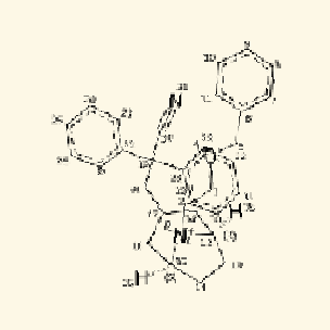 C[N+]1(CCOCc2ccccc2)[C@@H]2CC[C@H]1CC(CC(C#N)(c1ccccc1)c1ccccc1)C2